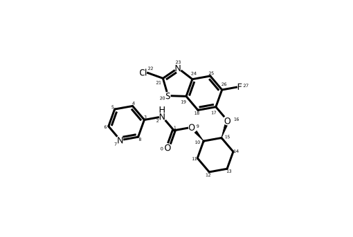 O=C(Nc1cccnc1)O[C@@H]1CCCC[C@@H]1Oc1cc2sc(Cl)nc2cc1F